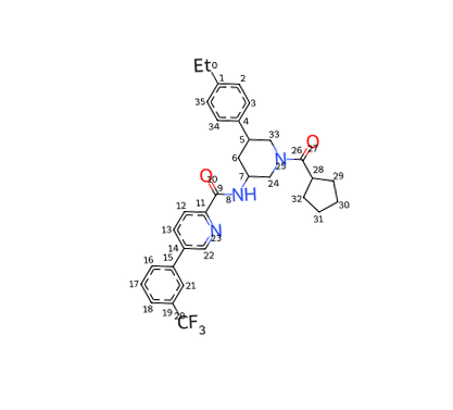 CCc1ccc(C2CC(NC(=O)c3ccc(-c4cccc(C(F)(F)F)c4)cn3)CN(C(=O)C3CCCC3)C2)cc1